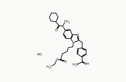 CCOC(=O)CCCCn1c(Cc2ccc(C(=N)N)cc2)nc2cc(N(C)C(=O)C3CCCCC3)ccc21.Cl